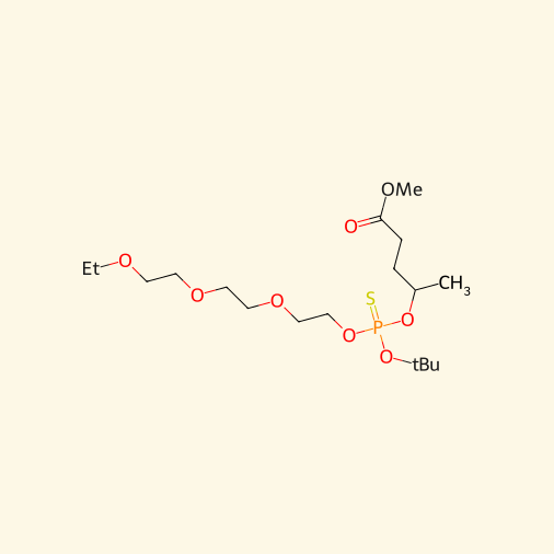 CCOCCOCCOCCOP(=S)(OC(C)CCC(=O)OC)OC(C)(C)C